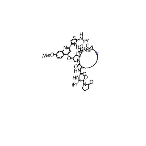 COc1ccc2c(O[C@@H]3C[C@H]4C(=O)N[C@]5(C(=O)O)CC5/C=C\CCCCC[C@H](NC(=O)N[C@H](C(=O)N5CCCC5=O)C(C)C)C(=O)N4C3)cc(-c3csc(NC(C)C)n3)nc2c1